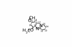 COc1cc2c(c(OC)c1)N=C1C=CC=CN1C2